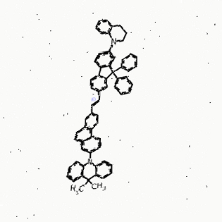 CC1(C)c2ccccc2N(c2ccc3c(ccc4cc(/C=C/c5ccc6c(c5)C(c5ccccc5)(c5ccccc5)c5cc(N7CCCc8ccccc87)ccc5-6)ccc43)c2)c2ccccc21